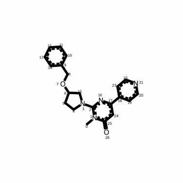 Cn1c(N2CCC(OCc3ccccc3)C2)nc(-c2ccncc2)cc1=O